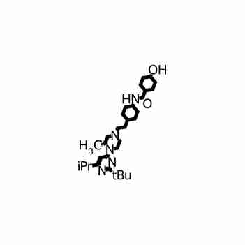 CC(C)c1cc(N2CCN(CCC3CCC(NC(=O)C4CCC(O)CC4)CC3)C[C@@H]2C)nc(C(C)(C)C)n1